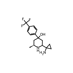 C[C@H]1CC(O)(c2ccc(C(F)(F)F)cc2)CC(C2(N)CC2)N1